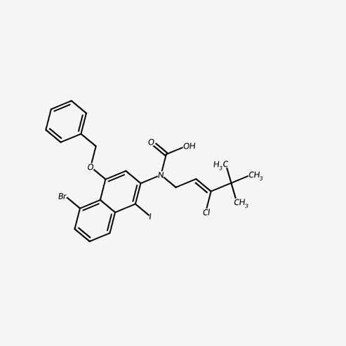 CC(C)(C)C(Cl)=CCN(C(=O)O)c1cc(OCc2ccccc2)c2c(Br)cccc2c1I